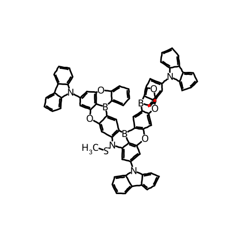 CSN1c2cc3c(cc2B2c4cc5c(cc4Oc4cc(-n6c7ccccc7c7ccccc76)cc1c42)Oc1cc(-n2c4ccccc4c4ccccc42)cc2c1B5c1ccccc1O2)B1c2ccccc2Oc2cc(-n4c5ccccc5c5ccccc54)cc(c21)O3